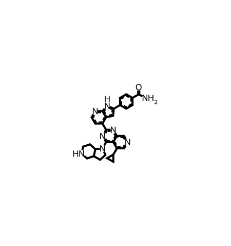 NC(=O)c1ccc(-c2cc3c(-c4nc(N5CCC6CNCCC65)c5c(C6CC6)cncc5n4)ccnc3[nH]2)cc1